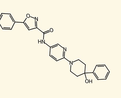 O=C(Nc1ccc(N2CCC(O)(c3ccccc3)CC2)nc1)c1cc(-c2ccccc2)on1